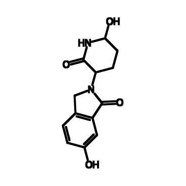 O=C1NC(O)CCC1N1Cc2ccc(O)cc2C1=O